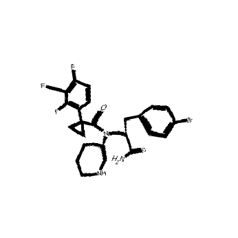 NC(=O)[C@H](Cc1ccc(Br)cc1)N(C(=O)C1(c2ccc(F)c(F)c2F)CC1)[C@@H]1CCCNC1